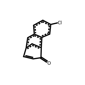 O=C1C=Cc2cc1c1cc(Cl)ccc1c2